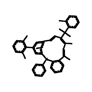 C\C1=C/C(C)=C(C(C)(C)c2ccccc2C)\C=C\c2cc(-c3c(C)cccc3C)cc(c2C)N(c2ccccc2)c2ccccc21